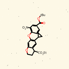 CCOC(=O)C1CCOc2cc(Oc3ccc(C(=O)OC(C)(C)C)cc3[N+](=O)[O-])c(C3CC3)cc21